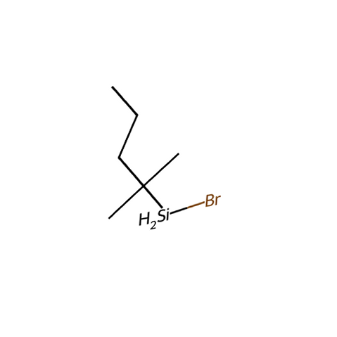 CCCC(C)(C)[SiH2]Br